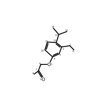 CCc1cc(OCC(C)=O)ccc1C(C)C